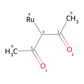 CC(=O)[CH]([Ru])C(C)=O